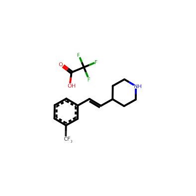 FC(F)(F)c1cccc(C=CC2CCNCC2)c1.O=C(O)C(F)(F)F